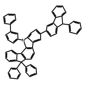 c1ccc(-c2cccc(-n3c4ccc(-c5ccc6c(c5)-c5ccccc5C6c5ccccc5)cc4c4ccc5c(c43)-c3ccccc3C5(c3ccccc3)c3ccccc3)c2)cc1